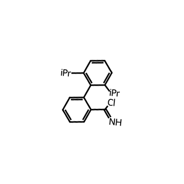 CC(C)c1cccc(C(C)C)c1-c1ccccc1C(=N)Cl